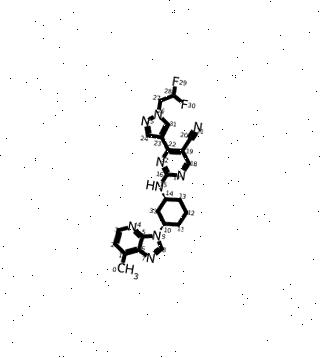 Cc1ccnc2c1ncn2[C@H]1CCC[C@@H](Nc2ncc(C#N)c(-c3cnn(CC(F)F)c3)n2)C1